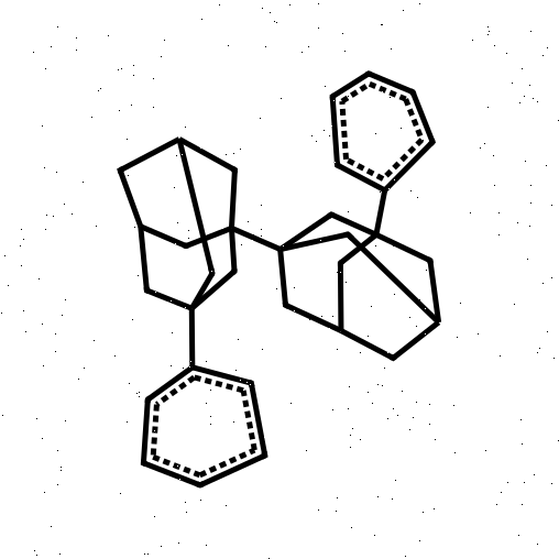 c1ccc(C23CC4CC(C2)CC(C25CC6CC(CC(c7ccccc7)(C6)C2)C5)(C4)C3)cc1